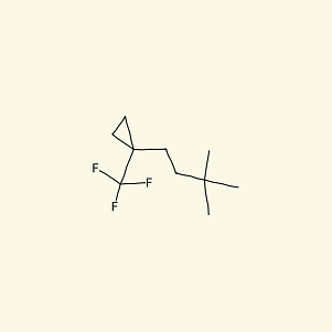 CC(C)(C)CCC1(C(F)(F)F)CC1